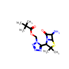 CC(C)(C)C(=O)OCn1nnnc1C1N2C(=O)C(N)C2SC1(C)C